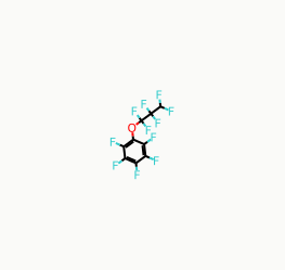 Fc1c(F)c(F)c(OC(F)(F)C(F)(F)C(F)F)c(F)c1F